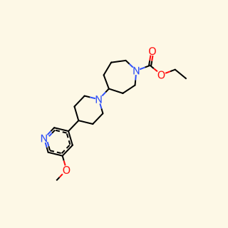 CCOC(=O)N1CCCC(N2CCC(c3cncc(OC)c3)CC2)CC1